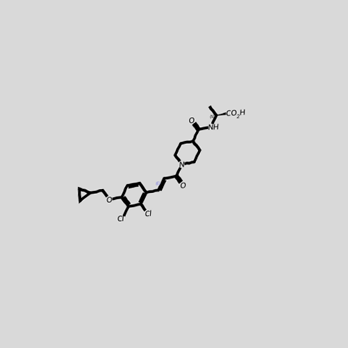 C[C@H](NC(=O)C1CCN(C(=O)/C=C/c2ccc(OCC3CC3)c(Cl)c2Cl)CC1)C(=O)O